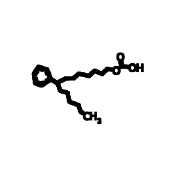 CCCCCCC(CCCCCCCOC(=O)O)c1ccccc1